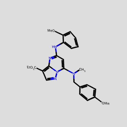 CCOC(=O)c1cnn2c(N(C)Cc3ccc(OC)cc3)cc(Nc3ccccc3OC)nc12